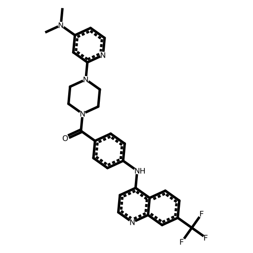 CN(C)c1ccnc(N2CCN(C(=O)c3ccc(Nc4ccnc5cc(C(F)(F)F)ccc45)cc3)CC2)c1